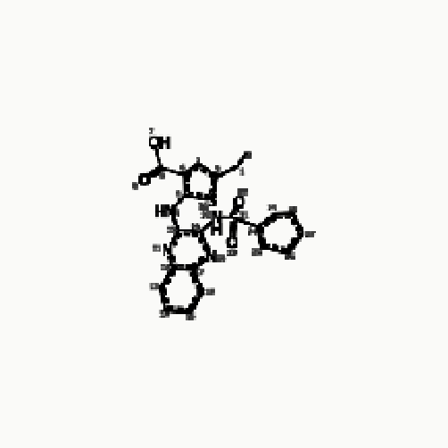 CCc1cc(C(=O)O)c(Nc2nc3ccccc3nc2NS(=O)(=O)c2ccccc2)s1